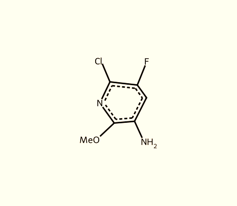 COc1nc(Cl)c(F)cc1N